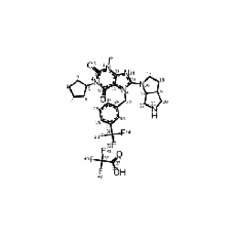 Cn1c(=O)n(C2CCCC2)c(=O)c2c1nc(N1CCC3CNCC31)n2Cc1cccc(C(F)(F)F)c1.O=C(O)C(F)(F)F